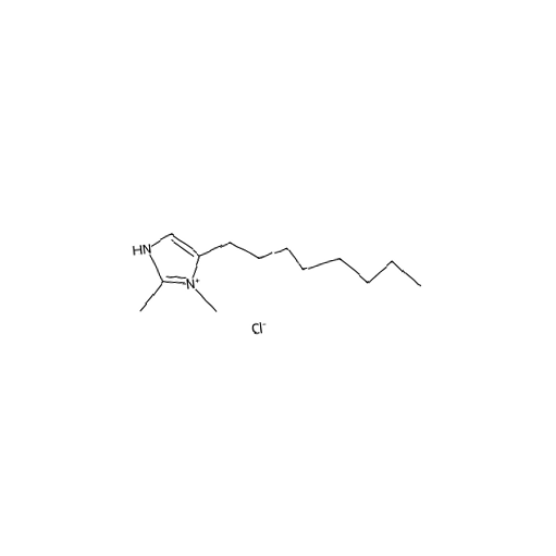 CCCCCCCCc1c[nH]c(C)[n+]1C.[Cl-]